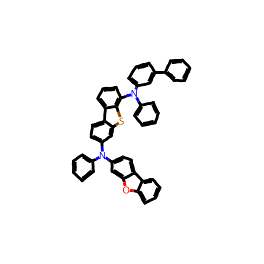 c1ccc(-c2cccc(N(c3ccccc3)c3cccc4c3sc3cc(N(c5ccccc5)c5ccc6c(c5)oc5ccccc56)ccc34)c2)cc1